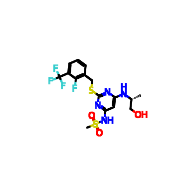 C[C@H](CO)Nc1cc(NS(C)(=O)=O)nc(SCc2cccc(C(F)(F)F)c2F)n1